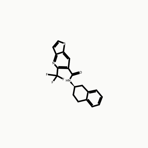 O=C(N[C@@H]1CCc2ccccc2C1)c1cc2sccc2nc1C(F)(F)F